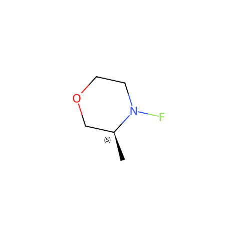 C[C@H]1COCCN1F